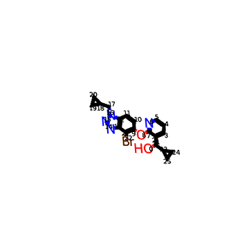 OC(c1cccnc1Oc1ccc2c(nnn2CC2CC2)c1Br)C1CC1